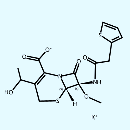 CO[C@@]1(NC(=O)Cc2cccs2)C(=O)N2C(C(=O)[O-])=C(C(C)O)CS[C@H]21.[K+]